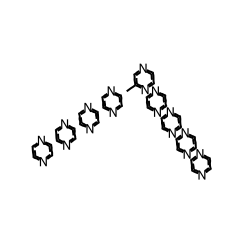 Cc1cnccn1.c1cnccn1.c1cnccn1.c1cnccn1.c1cnccn1.c1cnccn1.c1cnccn1.c1cnccn1.c1cnccn1